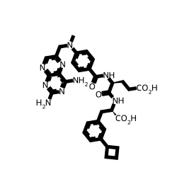 CN(Cc1cnc2nc(N)nc(N)c2n1)c1ccc(C(=O)N[C@@H](CCC(=O)O)C(=O)N[C@@H](Cc2cccc(C3CCC3)c2)C(=O)O)cc1